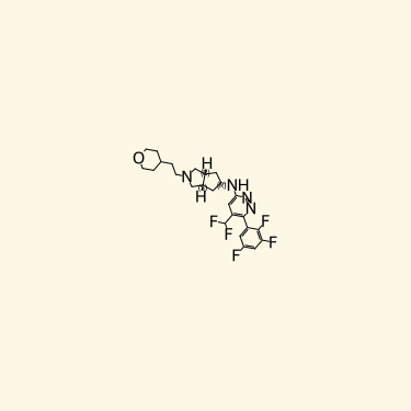 Fc1cc(F)c(F)c(-c2nnc(N[C@@H]3C[C@@H]4CN(CCC5CCOCC5)C[C@@H]4C3)cc2C(F)F)c1